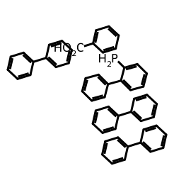 O=C(O)c1ccccc1.Pc1ccccc1-c1ccccc1.c1ccc(-c2ccccc2)cc1.c1ccc(-c2ccccc2)cc1.c1ccc(-c2ccccc2)cc1